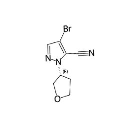 N#Cc1c(Br)cnn1[C@@H]1CCOC1